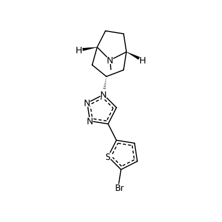 CN1[C@@H]2CC[C@H]1C[C@@H](n1cc(-c3ccc(Br)s3)nn1)C2